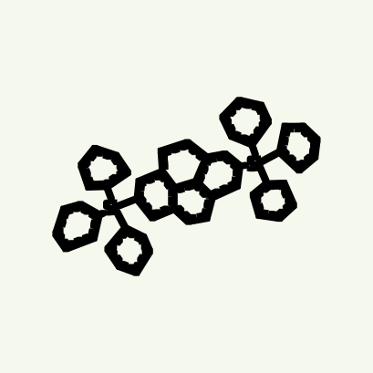 c1ccc([Si](c2ccccc2)(c2ccccc2)c2cc3ccc4cc([Si](c5ccccc5)(c5ccccc5)c5ccccc5)cc5ccc(c2)c3c45)cc1